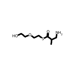 CC(CN)C(=O)SCCOCCO